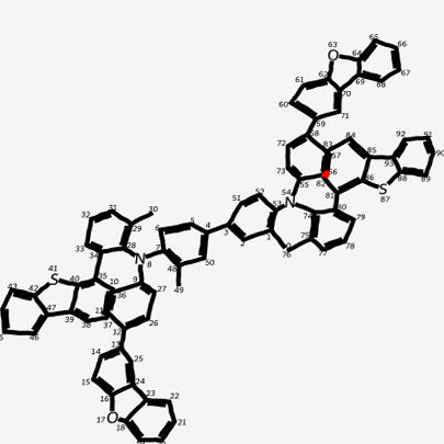 Cc1cc(-c2ccc(N(c3ccc(-c4ccc5oc6ccccc6c5c4)cc3)c3c(C)cccc3-c3cccc4c3sc3ccccc34)c(C)c2)ccc1N(c1ccc(-c2ccc3oc4ccccc4c3c2)cc1)c1c(C)cccc1-c1cccc2c1sc1ccccc12